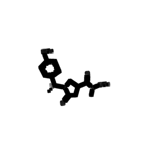 COc1ccc([C@@H](C)N2CC(C(=O)N(C)OC)CC2=O)cc1